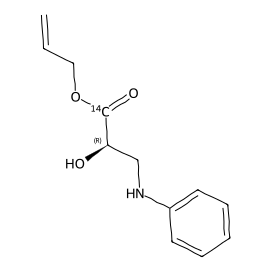 C=CCO[14C](=O)[C@H](O)CNc1ccccc1